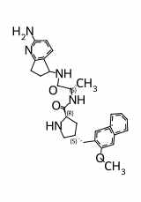 COc1cc2ccccc2cc1C[C@@H]1CN[C@@H](C(=O)N[C@@H](C)C(=O)NC2CCc3nc(N)ccc32)C1